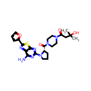 CC(C)(O)CC(=O)N1CCN(C(=O)[C@@H]2CCCN2c2nc(N)c3nc(-c4ccco4)sc3n2)CC1